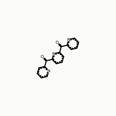 O=C(c1ccccn1)c1cccc(C(=O)c2ccccn2)n1